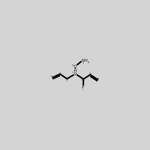 C=CC[SiH](O[SiH3])C(F)C=C